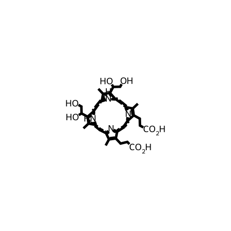 CC1=C(CCC(=O)O)c2cc3nc(cc4[nH]c(cc5[nH]c(cc1n2)c(C)c5C(O)CO)c(C)c4C(O)CO)C(C)=C3CCC(=O)O